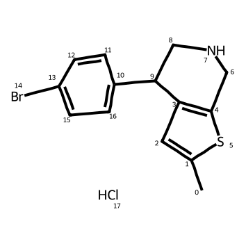 Cc1cc2c(s1)CNCC2c1ccc(Br)cc1.Cl